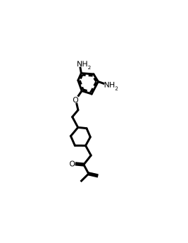 C=C(C)C(=O)CC1CCC(CCOc2cc(N)cc(N)c2)CC1